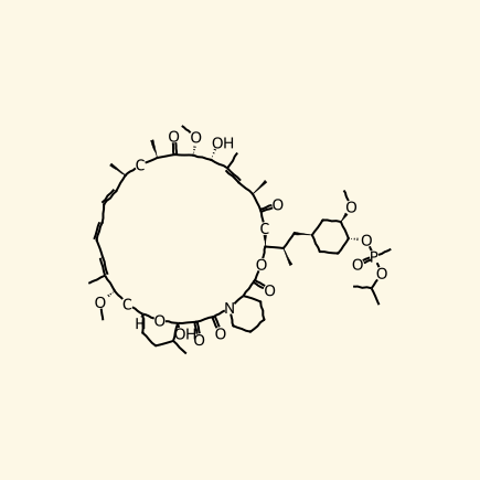 CO[C@H]1C[C@@H]2CCC(C)C(O)(O2)C(=O)C(=O)N2CCCCC2C(=O)O[C@H]([C@H](C)C[C@@H]2CC[C@@H](OP(C)(=O)OC(C)C)[C@H](OC)C2)CC(=O)[C@H](C)/C=C(\C)[C@@H](O)[C@@H](OC)C(=O)[C@H](C)C[C@H](C)/C=C/C=C/C=C/1C